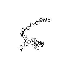 COCCOCCOCCOCCO[C@@H]1CCN(Cc2cc(-c3cc(-c4cccc(C)c4)ccc3Oc3ccc(S(=O)(=O)Nc4ncns4)cc3C#N)ccn2)C1